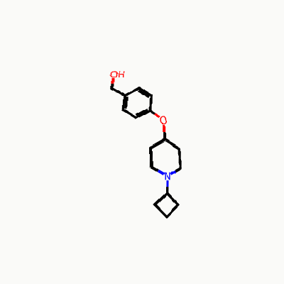 OCc1ccc(OC2CCN(C3CCC3)CC2)cc1